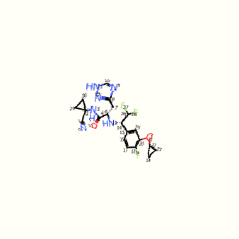 N#CC1(NC(=O)[C@H](Cc2nc[nH]n2)N[C@@H](c2ccc(F)c(OC3CC3)c2)C(F)F)CC1